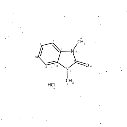 Cl.Cn1c(=O)n(C)c2ccccc21